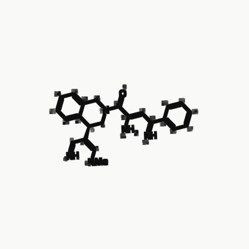 CN/C=C(\C=N)[C@@H]1CN(C(=O)/C(N)=C/C(=N)c2ccccc2)Cc2ccccc21